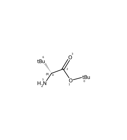 CC(C)(C)OC(=O)[C@H](N)C(C)(C)C